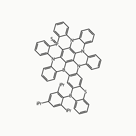 CC(C)c1cc(C(C)C)c(B2c3ccccc3Sc3cc4c(cc32)B2c3ccccc3N3c5ccccc5P5(=S)c6ccccc6N6c7ccccc7N7c8ccccc8N4c4c2c3c5c6c47)c(C(C)C)c1